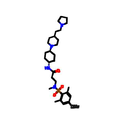 COc1cc(C)c(S(=O)(=O)N(C)CCC(=O)N[C@H]2CC[C@H](N3CCC(CCN4CCCC4)CC3)CC2)c(C)c1